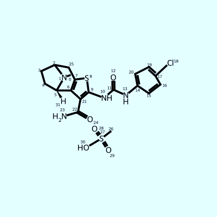 CN1C2CC[C@H]1c1c(sc(NC(=O)Nc3ccc(Cl)cc3)c1C(N)=O)C2.CS(=O)(=O)O